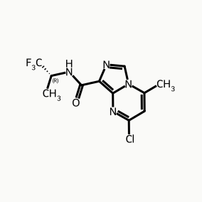 Cc1cc(Cl)nc2c(C(=O)N[C@H](C)C(F)(F)F)ncn12